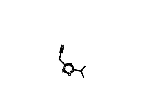 CC(C)c1cc(CC#N)no1